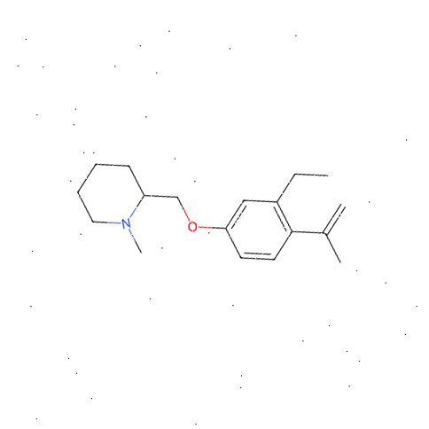 C=C(C)c1ccc(OCC2CCCCN2C)cc1CC